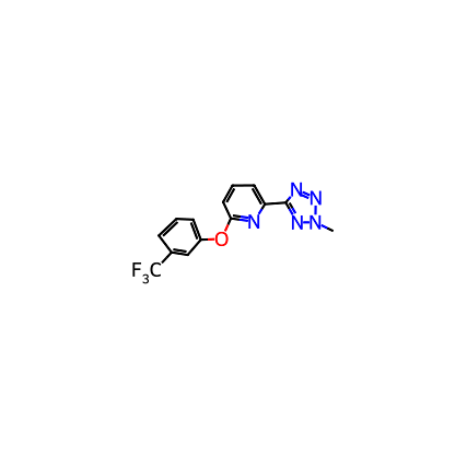 Cn1nnc(-c2cccc(Oc3cccc(C(F)(F)F)c3)n2)n1